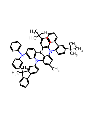 Cc1cc2c3c(c1)N(c1ccc(C(C)(C)C)cc1-c1ccccc1)c1ccc(C(C)(C)C)cc1B3c1ccc(N(c3ccccc3)c3ccccc3)cc1N2c1ccc2c(c1)C(C)(C)c1ccccc1-2